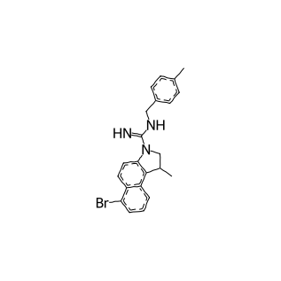 Cc1ccc(CNC(=N)N2CC(C)c3c2ccc2c(Br)cccc32)cc1